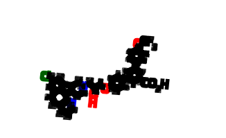 O=C(O)c1cc(-c2ccc(OCC(O)CN3CCC(=C4c5ccc(Cl)cc5CCc5cccnc54)CC3)cc2)cc(-c2ccc(OC(F)(F)F)cc2)c1